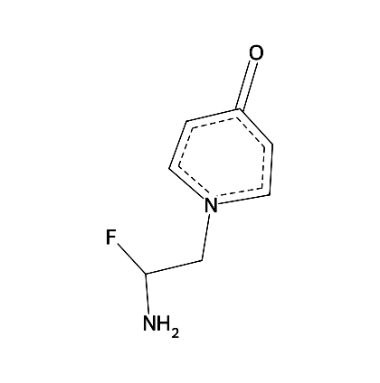 NC(F)Cn1ccc(=O)cc1